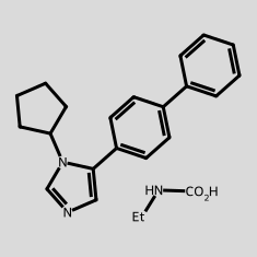 CCNC(=O)O.c1ccc(-c2ccc(-c3cncn3C3CCCC3)cc2)cc1